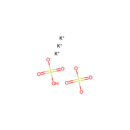 O=S(=O)([O-])O.O=S(=O)([O-])[O-].[K+].[K+].[K+]